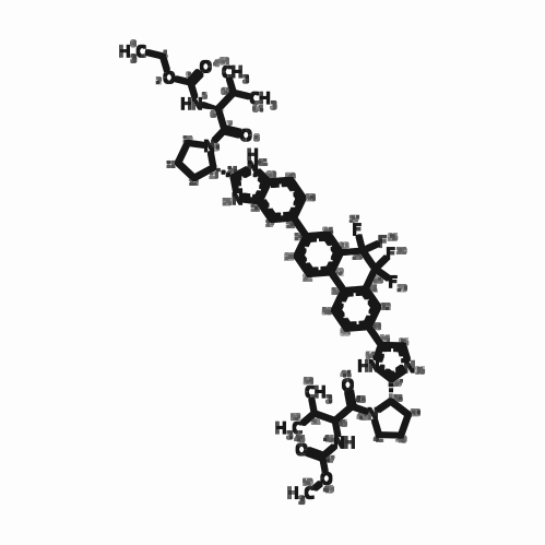 CCOC(=O)N[C@H](C(=O)N1CCC[C@H]1c1nc2cc(-c3ccc4c(c3)C(F)(F)C(F)(F)c3cc(-c5cnc([C@@H]6CCCN6C(=O)C(NC(=O)OC)C(C)C)[nH]5)ccc3-4)ccc2[nH]1)C(C)C